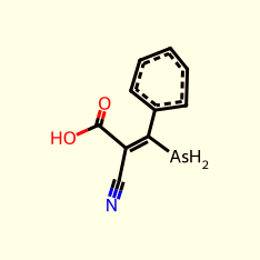 N#CC(C(=O)O)=C([AsH2])c1ccccc1